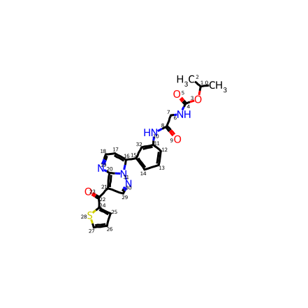 CC(C)OC(=O)NCC(=O)Nc1cccc(-c2ccnc3c(C(=O)c4cccs4)cnn23)c1